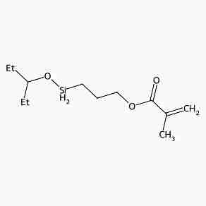 C=C(C)C(=O)OCCC[SiH2]OC(CC)CC